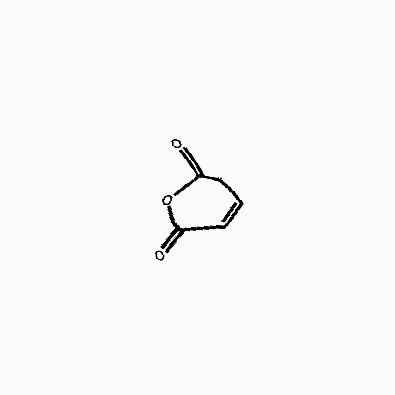 O=C1[C]C=CC(=O)O1